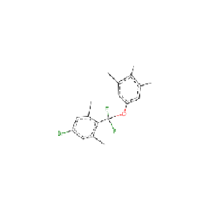 Cc1cc(OC(F)(F)c2c(C)cc(Br)cc2C)cc(C)c1C